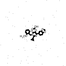 COc1ccccc1Cn1c(C2CC2)nc(-c2ccc3c(c2)OCO3)c(OC(=O)O)c1=O